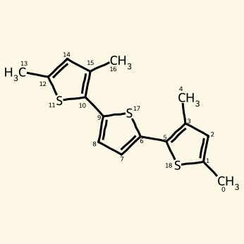 Cc1cc(C)c(-c2ccc(-c3sc(C)cc3C)s2)s1